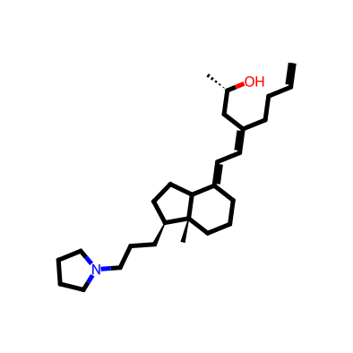 C=CCC/C(=C/C=C1\CCC[C@@]2(C)C1CC[C@@H]2CCCN1CCCC1)C[C@H](C)O